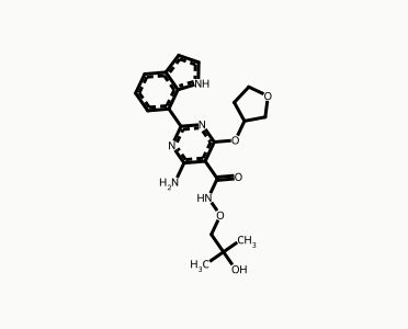 CC(C)(O)CONC(=O)c1c(N)nc(-c2cccc3cc[nH]c23)nc1OC1CCOC1